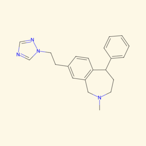 CN1CCC(c2ccccc2)c2ccc(CCn3cncn3)cc2C1